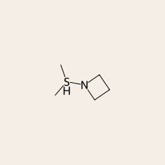 C[SH](C)N1CCC1